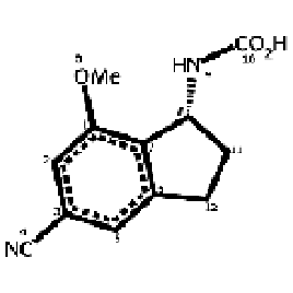 COc1cc(C#N)cc2c1[C@H](NC(=O)O)CC2